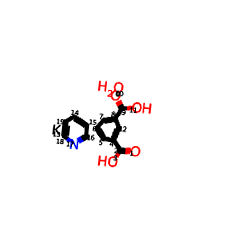 O.O=C(O)c1cccc(C(=O)O)c1.[KH].c1ccncc1